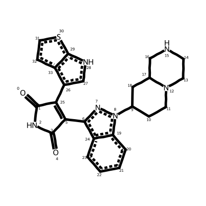 O=C1NC(=O)C(c2nn(C3CCN4CCNCC4C3)c3ccccc23)=C1c1c[nH]c2sccc12